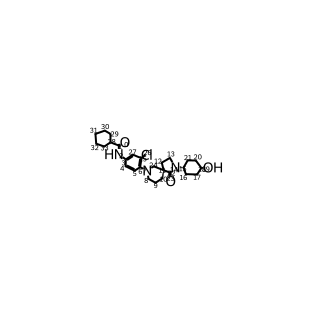 O=C(Nc1ccc(N2CCC[C@]3(CCN([C@H]4CC[C@H](O)CC4)C3=O)C2)c(Cl)c1)C1CCCCC1